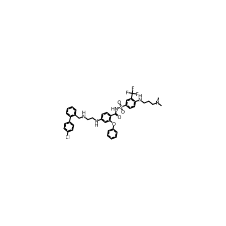 CN(C)CCCNc1ccc(S(=O)(=O)NC(=O)c2ccc(NCCNCc3ccccc3-c3ccc(Cl)cc3)cc2Oc2ccccc2)cc1C(F)(F)F